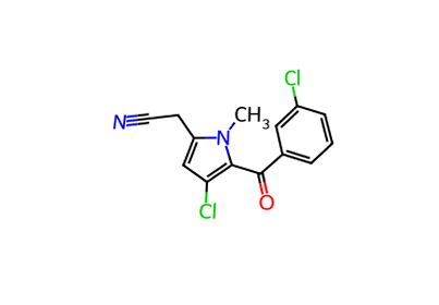 Cn1c(CC#N)cc(Cl)c1C(=O)c1cccc(Cl)c1